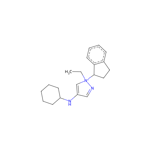 CC[N+]1(C2CCc3ccccc32)C=C(NC2CCCCC2)C=N1